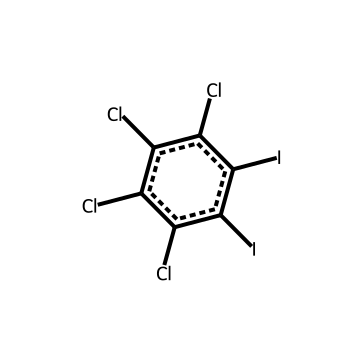 Clc1c(Cl)c(Cl)c(I)c(I)c1Cl